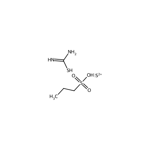 CCCS(=O)(=O)O.N=C(N)S.[S+2]